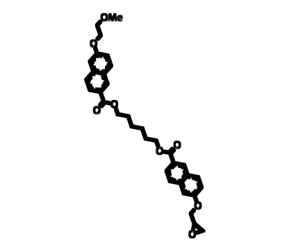 COCCOc1ccc2cc(C(=O)OCCCCCCOC(=O)c3ccc4cc(OCC5CO5)ccc4c3)ccc2c1